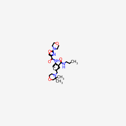 CCCNC(=O)c1cc(CN2CCOCC2(C)C)ccc1NC(=O)c1coc(N2CCOCC2)n1